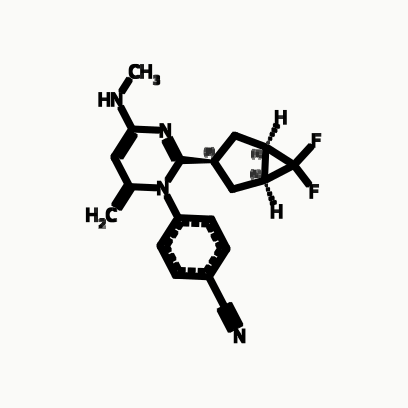 C=C1C=C(NC)N=C([C@H]2C[C@@H]3[C@H](C2)C3(F)F)N1c1ccc(C#N)cc1